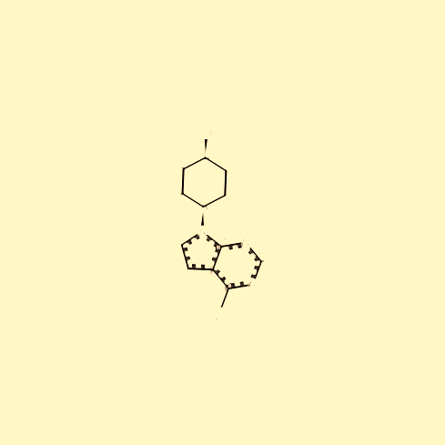 O[C@H]1CC[C@@H](n2ccc3c(Cl)ncnc32)CC1